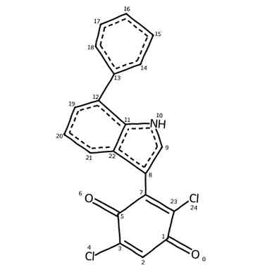 O=C1C=C(Cl)C(=O)C(c2c[nH]c3c(-c4ccccc4)cccc23)=C1Cl